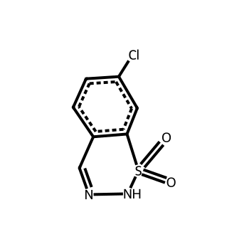 O=S1(=O)NN=Cc2ccc(Cl)cc21